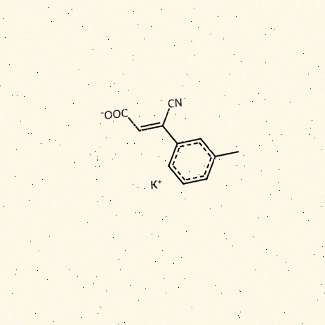 Cc1cccc(/C(C#N)=C/C(=O)[O-])c1.[K+]